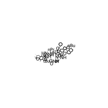 CCCCOc1ccc2ccccc2c1-c1c(OCC(=O)N[C@H](CCC[C@H](C)NC(=O)OC(C)(C)C)C(=O)N[C@H](CCCNC(=N)NS(=O)(=O)c2c(C)c(C)c3c(c2C)C[C@@H](C)C(C)(C)O3)C(=O)N[C@@H](CCC)C(=O)OCc2ccccc2)ccc2ccccc12